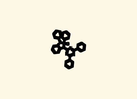 O=P1(c2ccccc2)N(c2ccccc2)c2ccccc2N1c1nc(-c2ccccc2)nc(-c2ccccc2)n1